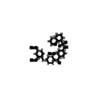 COc1ccc(CN2CCN(C(=O)c3ccc(NS(=O)(=O)c4cccc5cccnc45)cc3OC)CC2)c(OC)c1